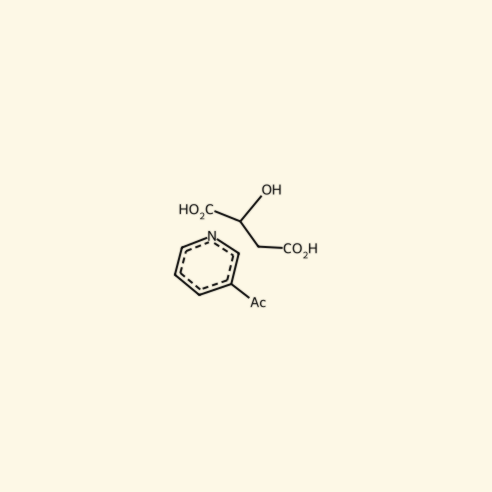 CC(=O)c1cccnc1.O=C(O)CC(O)C(=O)O